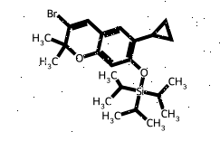 CC(C)[Si](Oc1cc2c(cc1C1CC1)C=C(Br)C(C)(C)O2)(C(C)C)C(C)C